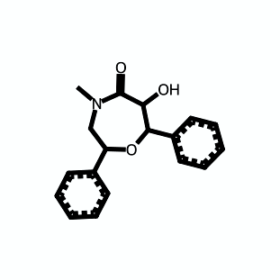 CN1CC(c2ccccc2)OC(c2ccccc2)C(O)C1=O